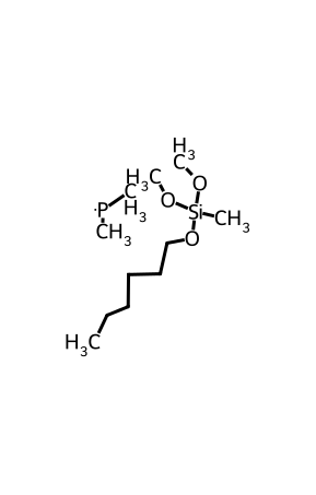 CCCCCCO[Si](C)(OC)OC.C[P]C